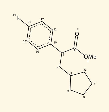 COC(=O)C(CC1CCCC1)c1ccc(I)cc1